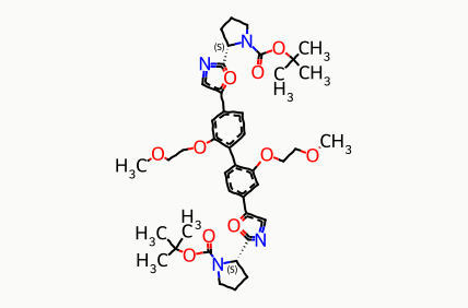 COCCOc1cc(-c2cnc([C@@H]3CCCN3C(=O)OC(C)(C)C)o2)ccc1-c1ccc(-c2cnc([C@@H]3CCCN3C(=O)OC(C)(C)C)o2)cc1OCCOC